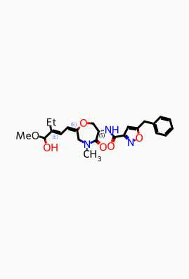 CC/C(=C\C=C1/CN(C)C(=O)[C@@H](NC(=O)c2cc(Cc3ccccc3)on2)CO1)C(O)OC